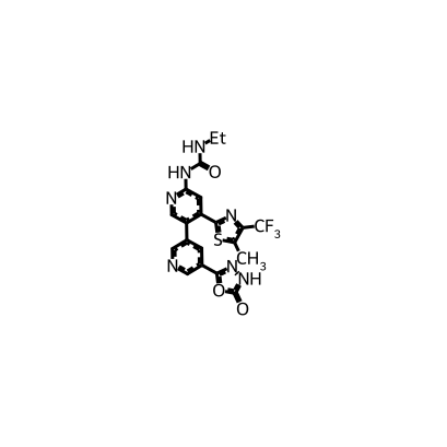 CCNC(=O)Nc1cc(-c2nc(C(F)(F)F)c(C)s2)c(-c2cncc(-c3n[nH]c(=O)o3)c2)cn1